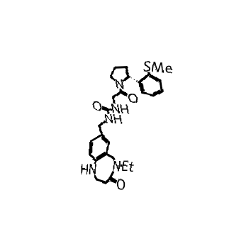 CCN1Cc2cc(CNC(=O)NCC(=O)N3CCC[C@@H]3c3ccccc3SC)ccc2NCCC1=O